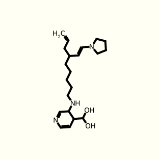 C=CCC(/C=C/N1CCCC1)CCCCCNC1C=NC=CC1C(O)O